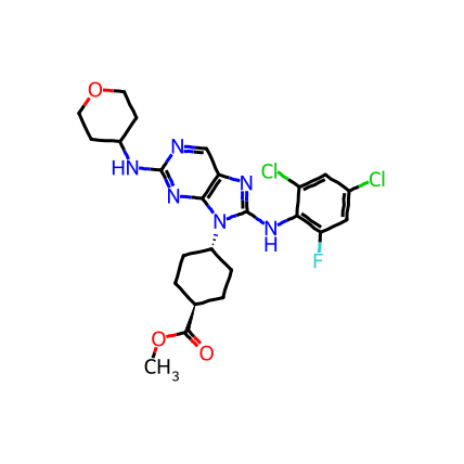 COC(=O)[C@H]1CC[C@H](n2c(Nc3c(F)cc(Cl)cc3Cl)nc3cnc(NC4CCOCC4)nc32)CC1